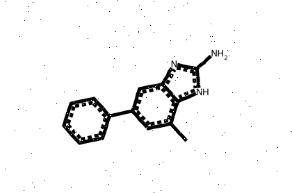 Cc1cc(-c2ccccc2)cc2nc(N)[nH]c12